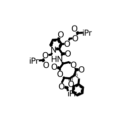 CC(C)C(=O)OCOc1c(C(=O)NC2COC(=O)[C@H](Cc3ccccc3)[C@@H](OC(=O)C(C)C)C(C)OC2=O)n(COC(=O)C(C)C)ccc1=O